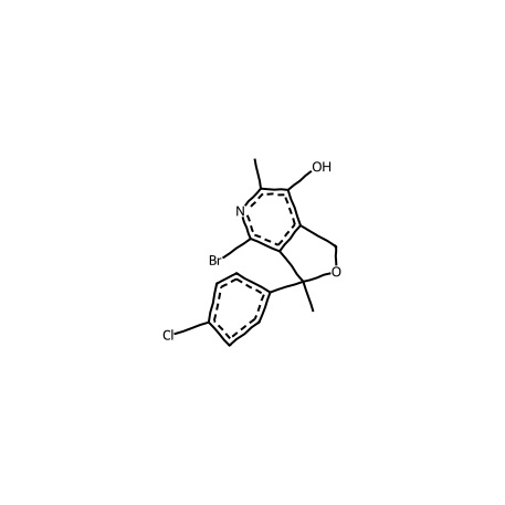 Cc1nc(Br)c2c(c1O)COC2(C)c1ccc(Cl)cc1